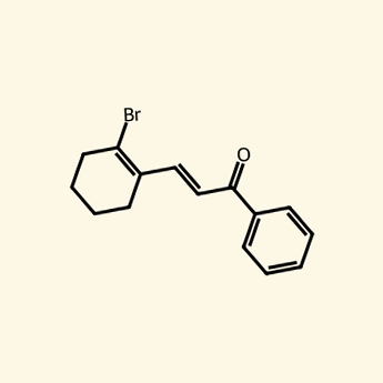 O=C(C=CC1=C(Br)CCCC1)c1ccccc1